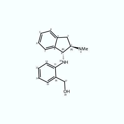 CN[C@@H]1Cc2ccccc2[C@H]1Nc1ccccc1CO